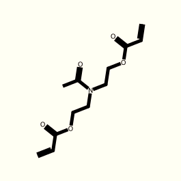 C=CC(=O)OCCN(CCOC(=O)C=C)C(C)=O